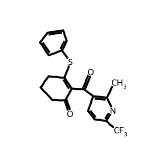 Cc1nc(C(F)(F)F)ccc1C(=O)C1=C(Sc2ccccc2)CCCC1=O